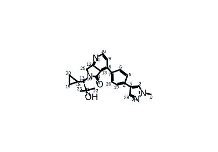 Cn1cc(-c2ccc(-c3ccnc4c3C(=O)N([C@H](C3CC3)C(C)(C)O)C4)cc2)cn1